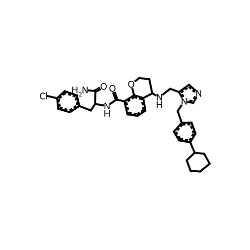 NC(=O)C(Cc1ccc(Cl)cc1)NC(=O)c1cccc2c1OCCC2NCc1cncn1Cc1ccc(C2CCCCC2)cc1